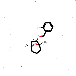 C[C@@]12CCC[C@@](C)(O1)[C@@H](OCc1ccccc1F)C2